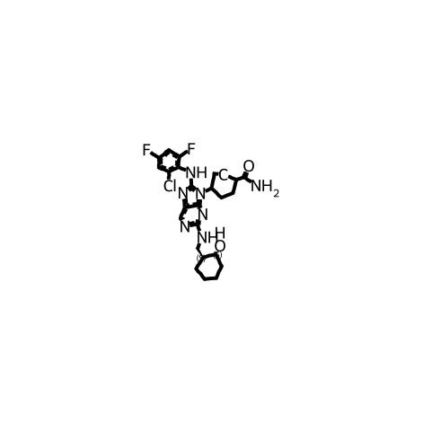 NC(=O)C1CCC(n2c(Nc3c(F)cc(F)cc3Cl)nc3cnc(NC[C@@H]4CCCC[C@@H]4O)nc32)CC1